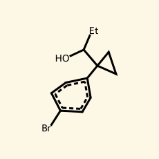 CCC(O)C1(c2ccc(Br)cc2)CC1